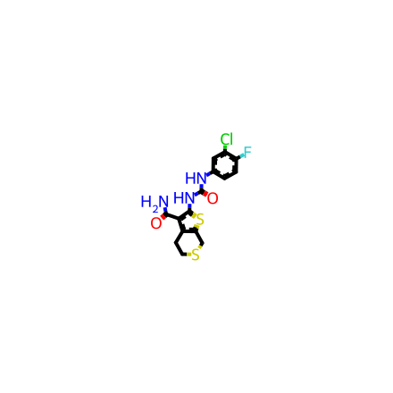 NC(=O)c1c(NC(=O)Nc2ccc(F)c(Cl)c2)sc2c1CCSC2